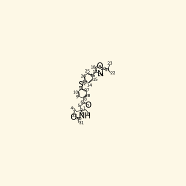 CCC(CC)(CC(=O)c1ccc(Sc2ccc(-c3coc(C(C)C)n3)cc2)cc1)NC(C)=O